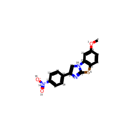 COc1ccc2sc3nc(-c4ccc([N+](=O)[O-])cc4)cn3c2c1